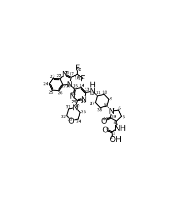 O=C(O)N[C@@H]1CCN([C@H]2CC[C@H](Nc3cc(-n4c(C(F)F)nc5ccccc54)nc(N4CCOCC4)n3)CC2)C1=O